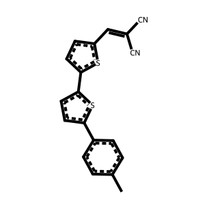 Cc1ccc(-c2ccc(-c3ccc(C=C(C#N)C#N)s3)s2)cc1